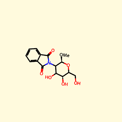 CO[C@H]1OC(CO)[C@@H](O)C(O)C1N1C(=O)c2ccccc2C1=O